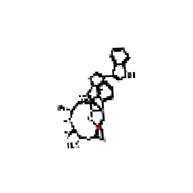 CC(C)[C@@H]1NC(=O)[C@@H](N)Cc2ccc3c(c2)C2(c4ccccc4NC2O3)c2oc1nc2-c1ncc(-c2c[nH]c3ccccc23)o1